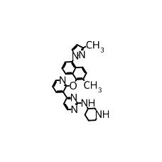 Cc1ccn(-c2cccc3c(Oc4ncccc4-c4ccnc(NC5CCCNC5)n4)c(C)ccc23)n1